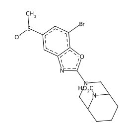 C[S+]([O-])c1cc(Br)c2oc(N3CC4CCCC(C3)N4C(=O)O)nc2c1